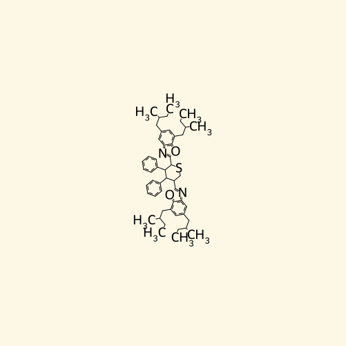 CCC(C)Cc1cc(CC(C)CC)c2oc(C3CSC(c4nc5cc(CC(C)CC)cc(CC(C)CC)c5o4)C(c4ccccc4)C3c3ccccc3)nc2c1